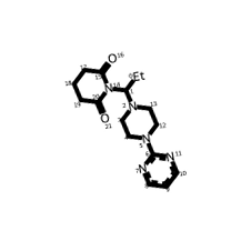 CCC(N1CCN(c2ncccn2)CC1)N1C(=O)CCCC1=O